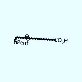 CCCCC/C=C\C/C=C\CCCCCCCC(=O)OCCCCCCCCCCCCCCCCCCCCCCC(=O)O